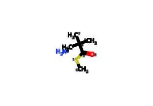 CSC(=O)C(C)(C)C.N